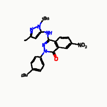 Cc1cc(Nc2nn(-c3ccc(C(C)(C)C)cc3)c(=O)c3cc([N+](=O)[O-])ccc23)n(C(C)(C)C)n1